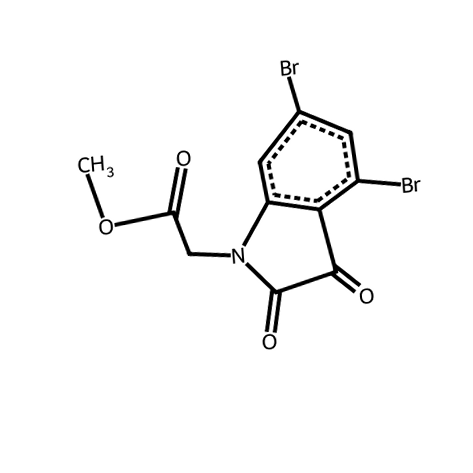 COC(=O)CN1C(=O)C(=O)c2c(Br)cc(Br)cc21